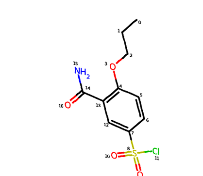 CCCOc1ccc(S(=O)(=O)Cl)cc1C(N)=O